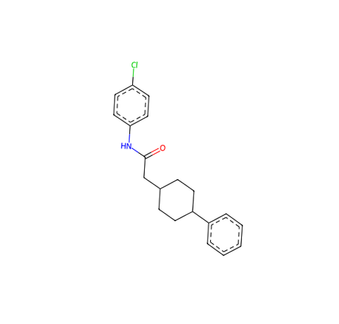 O=C(CC1CCC(c2ccccc2)CC1)Nc1ccc(Cl)cc1